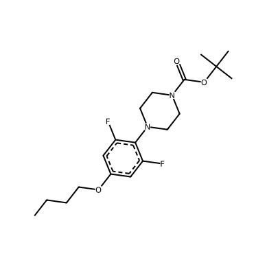 CCCCOc1cc(F)c(N2CCN(C(=O)OC(C)(C)C)CC2)c(F)c1